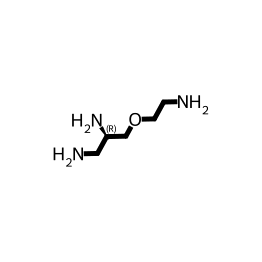 NCCOC[C@H](N)CN